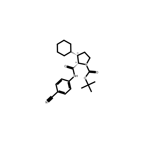 CC(C)(C)OC(=O)N1CC[C@@H](C2CCCCC2)[C@H]1C(=O)Nc1ccc(C#N)cc1